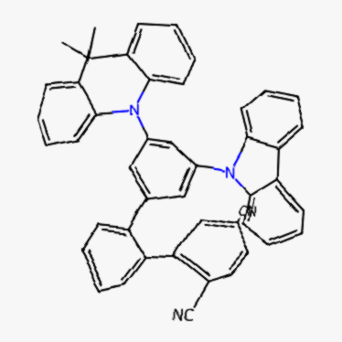 CC1(C)c2ccccc2N(c2cc(-c3ccccc3-c3cc(C#N)ccc3C#N)cc(-n3c4ccccc4c4ccccc43)c2)c2ccccc21